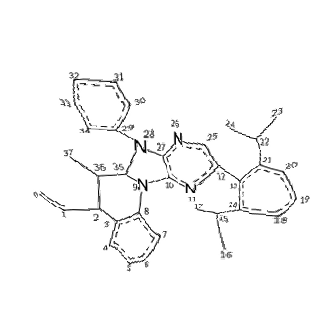 C=CC1c2ccccc2N2c3nc(-c4c(C(C)C)cccc4C(C)C)cnc3N(c3ccccc3)C2C1C